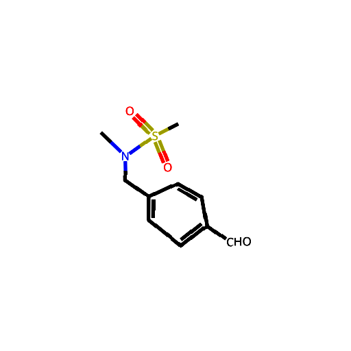 CN(Cc1ccc(C=O)cc1)S(C)(=O)=O